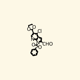 O=Cc1cc2c(Cl)c(C3OCCO3)cnc2n1S(=O)(=O)c1ccccc1